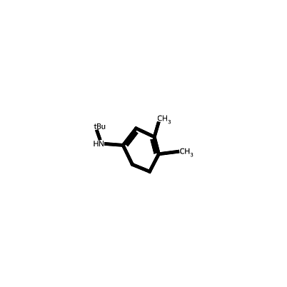 CC1=C(C)CCC(NC(C)(C)C)=C1